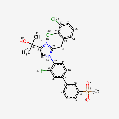 CCS(=O)(=O)c1cccc(-c2ccc(-n3cc(C(C)(C)O)nc3Cc3cccc(Cl)c3Cl)c(F)c2)c1